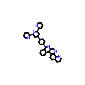 c1ccc(-c2cc(-c3ccc(-c4nc5cnc6c(ccc7cccnc76)c5c5ccccc45)cc3)cc(-c3ccccn3)n2)nc1